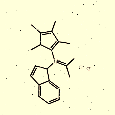 CC1=C(C)C(C)[C]([Ti+2](=[C](C)C)[CH]2C=Cc3ccccc32)=C1C.[Cl-].[Cl-]